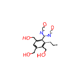 CCCc1c(CO)c(CO)cc(CO)c1C(N=C=O)N=C=O